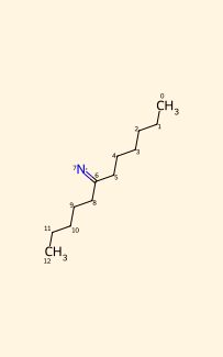 CCCCCCC(=[N])CCCCC